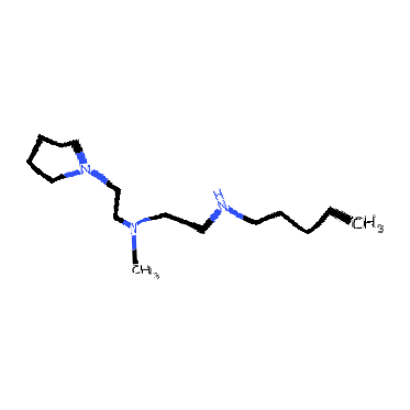 CCCCCNCCN(C)CCN1CCCC1